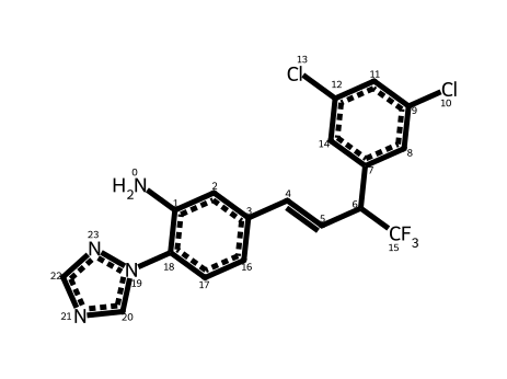 Nc1cc(C=CC(c2cc(Cl)cc(Cl)c2)C(F)(F)F)ccc1-n1cncn1